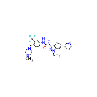 CN1CCN(Cc2ccc(NC(=O)Nc3nn(C)c4cc(-c5cccnc5)ccc34)cc2C(F)(F)F)CC1